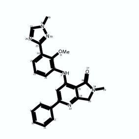 COc1c(Nc2cc(-c3ccccc3)nc3c2C(=O)N(C)C3)cccc1-c1ncn(C)n1